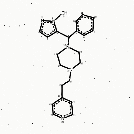 Cn1nccc1C(c1ccccc1)N1CCN(CCc2ccncc2)CC1